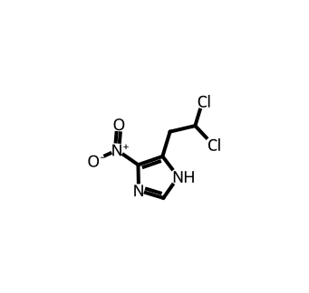 O=[N+]([O-])c1nc[nH]c1CC(Cl)Cl